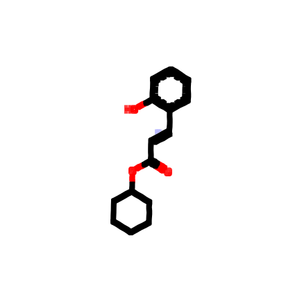 O=C(/C=C/c1ccccc1O)OC1CCCCC1